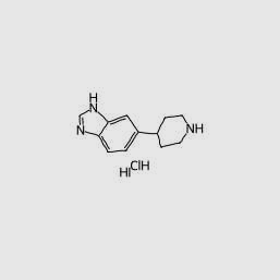 Cl.I.c1nc2ccc(C3CCNCC3)cc2[nH]1